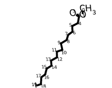 COC(=O)CCCCCCCCCCCCCCCI